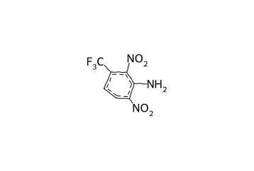 Nc1c([N+](=O)[O-])ccc(C(F)(F)F)c1[N+](=O)[O-]